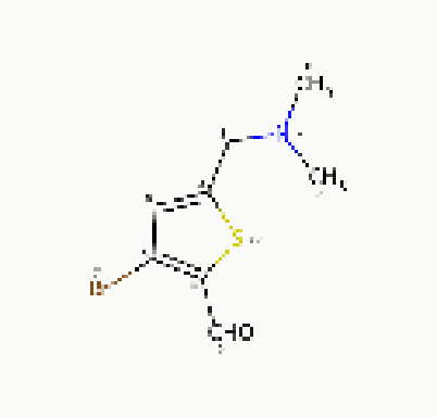 CN(C)Cc1cc(Br)c(C=O)s1